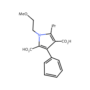 COCCn1c(C(=O)O)c(-c2ccccc2)c(C(=O)O)c1C(C)C